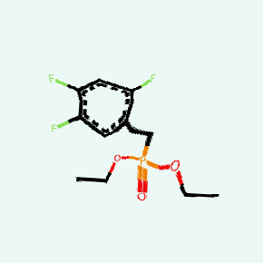 CCOP(=O)(Cc1cc(F)c(F)cc1F)OCC